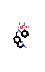 CC(=O)N(Cc1ccc2ccc(N)nc2c1)c1ccccc1S(N)(=O)=O